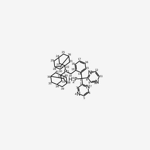 PC(c1cnccn1)(c1cnccn1)c1ccccc1CP(C12CC3CC(CC(C3)C1)C2)C12CC3CC(CC(C3)C1)C2